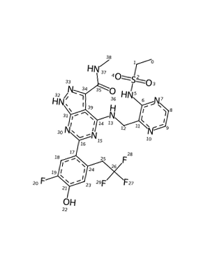 CCS(=O)(=O)Nc1nccnc1CNc1nc(-c2cc(F)c(O)cc2CC(F)(F)F)nc2[nH]nc(C(=O)NC)c12